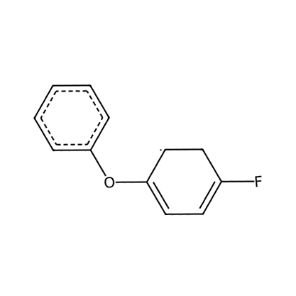 FC1=CC=C(Oc2ccccc2)[CH]C1